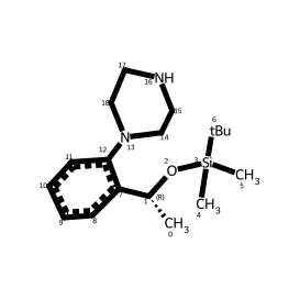 C[C@@H](O[Si](C)(C)C(C)(C)C)c1ccccc1N1CCNCC1